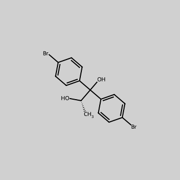 C[C@H](O)C(O)(c1ccc(Br)cc1)c1ccc(Br)cc1